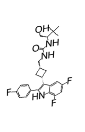 CC(C)(C)[C@H](CO)NC(=O)NC[C@H]1C[C@H](c2c(-c3ccc(F)cc3)[nH]c3c(F)cc(F)cc32)C1